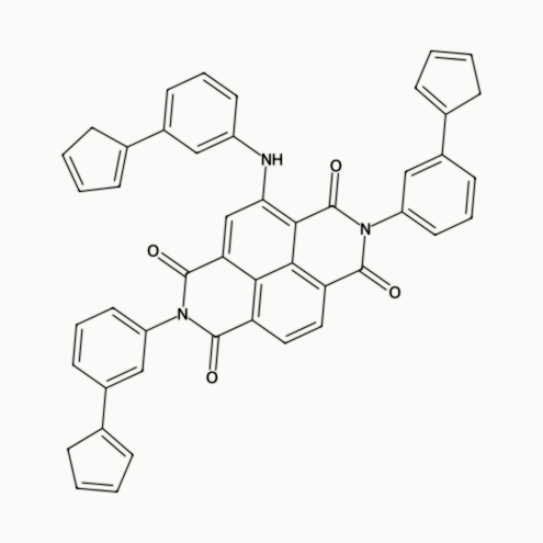 O=C1c2ccc3c4c(c(Nc5cccc(C6=CC=CC6)c5)cc(c24)C(=O)N1c1cccc(C2=CC=CC2)c1)C(=O)N(c1cccc(C2=CC=CC2)c1)C3=O